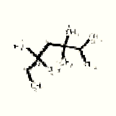 C[CH]C(C)(C)CC(C)(C)C(C)C